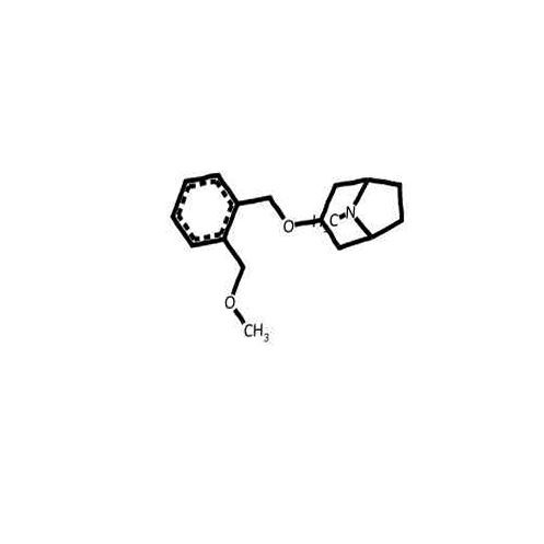 COCc1ccccc1COC1CC2CCC(C1)N2C